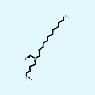 CCCCCCCCCCCCN(C=O)CCCCC